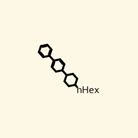 CCCCCCC1CCC(C2C=CC(c3ccccc3)=CC2)CC1